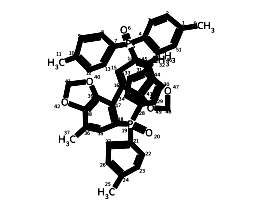 Cc1ccc(P(=O)(c2ccc(C)cc2)c2cc(-c3c(P(=O)(c4ccc(C)cc4)c4ccc(C)cc4)cc(C)c4c3OCO4)c3c(c2C)OCO3)cc1